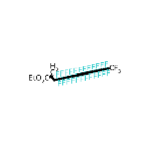 C=C(CC(F)(F)C(F)(F)C(F)(F)C(F)(F)C(F)(F)C(F)(F)C(F)(F)C(F)(F)C(F)(F)C(F)(F)C(F)(F)C(F)(F)C(F)(F)F)C(=O)OCC